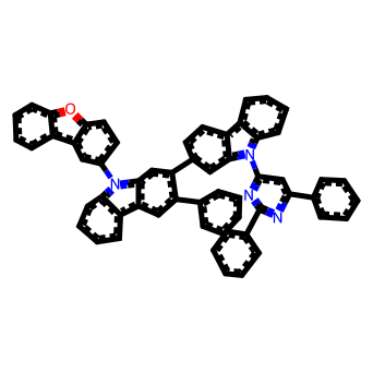 c1ccc(-c2cc(-n3c4ccccc4c4ccc(-c5cc6c(cc5-c5ccccc5)c5ccccc5n6-c5ccc6oc7ccccc7c6c5)cc43)nc(-c3ccccc3)n2)cc1